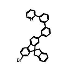 Brc1ccc2c(c1)C1(Cc3ccccc3C1)c1cc(-c3cccc(-c4cccc(-c5ccccn5)c4)c3)ccc1-2